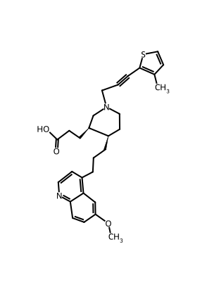 COc1ccc2nccc(CCC[C@@H]3CCN(CC#Cc4sccc4C)C[C@@H]3CCC(=O)O)c2c1